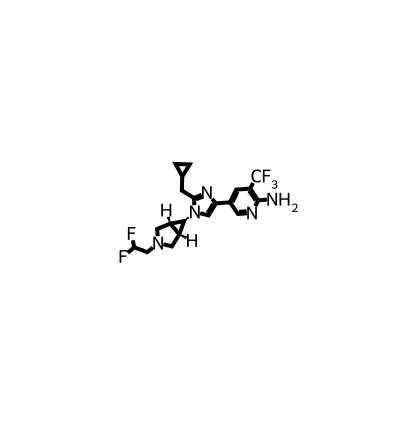 Nc1ncc(-c2cn([C@@H]3[C@@H]4CN(CC(F)F)C[C@@H]43)c(CC3CC3)n2)cc1C(F)(F)F